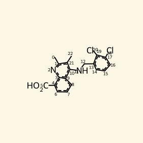 Cc1nc2c(C(=O)O)cccc2c(NCc2cccc(Cl)c2Cl)c1C